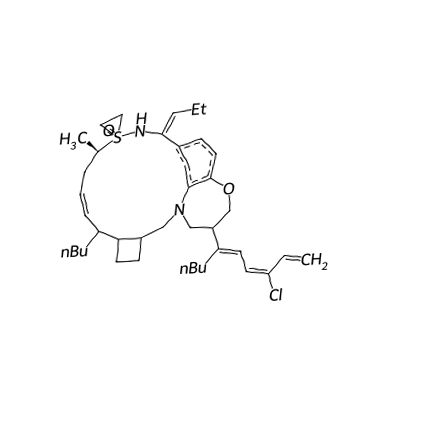 C=C/C(Cl)=C\C=C(/CCCC)C1COc2ccc3cc2N(C1)CC1CCC1C(CCCC)/C=C\C[C@@H](C)S1(=O)(CC1)N/C3=C/CC